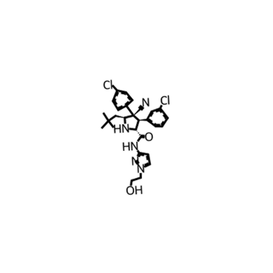 CC(C)(C)C[C@@H]1N[C@@H](C(=O)Nc2ccn(CCO)n2)[C@H](c2cccc(Cl)c2)[C@@]1(C#N)c1ccc(Cl)cc1